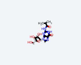 CC(C)C(=O)Nc1nc2c(ncn2[C@@H]2O[C@H](CO)C(O)[C@@H]2O)c(=O)[nH]1